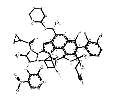 C[C@@H]1[C@@H](Oc2c([N+](=O)[O-])ccnc2Cl)C[C@H](c2cc3c([C@@H](C)OC4CCCCO4)nc4c(F)c(-c5cccc(Cl)c5Cl)c(CCC#N)cc4c3n2[C@H]2[C@@H]3C[C@H]2N(C(=O)OC(C)(C)C)C3)N1C(=O)C1CC1